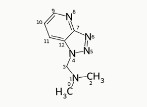 CN(C)Cn1nnc2ncccc21